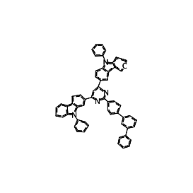 c1ccc(-c2cccc(-c3ccc(-c4nc(-c5ccc6c(c5)c5ccccc5n6-c5ccccc5)cc(-c5ccc6c7ccccc7n(-c7ccccc7)c6c5)n4)cc3)c2)cc1